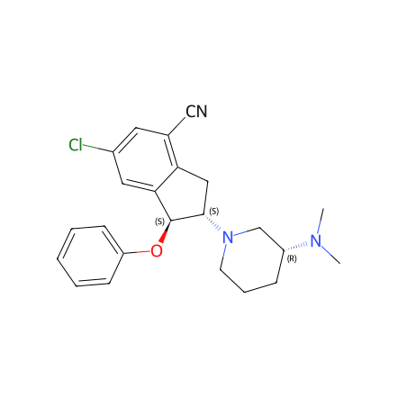 CN(C)[C@@H]1CCCN([C@H]2Cc3c(C#N)cc(Cl)cc3[C@@H]2Oc2ccccc2)C1